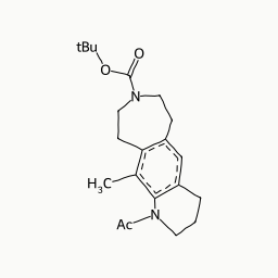 CC(=O)N1CCCc2cc3c(c(C)c21)CCN(C(=O)OC(C)(C)C)CC3